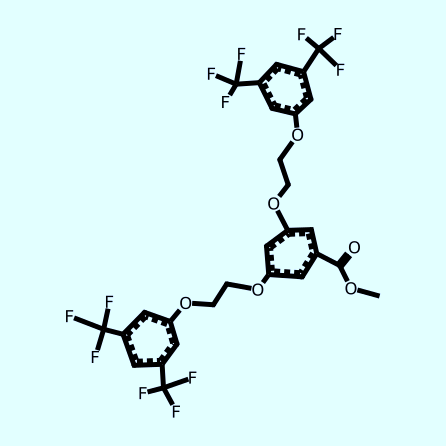 COC(=O)c1cc(OCCOc2cc(C(F)(F)F)cc(C(F)(F)F)c2)cc(OCCOc2cc(C(F)(F)F)cc(C(F)(F)F)c2)c1